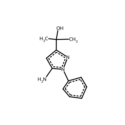 CC(C)(O)c1cc(N)n(-c2ccccc2)n1